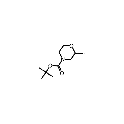 [CH2]C1CN(C(=O)OC(C)(C)C)CCO1